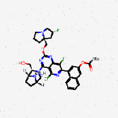 CC(C)(C)C(=O)Oc1cc(-c2nc(Cl)c3c(N4C[C@@H]5CC[C@H]([C@H]4CO)N5C(=O)O)nc(OC[C@@]45CCCN4C[C@H](F)C5)nc3c2F)c2ccccc2c1